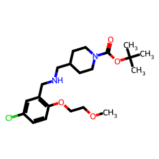 COCCOc1ccc(Cl)cc1CNCC1CCN(C(=O)OC(C)(C)C)CC1